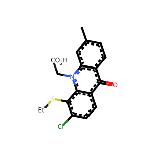 CCSc1c(Cl)ccc2c(=O)c3ccc(C)cc3n(CC(=O)O)c12